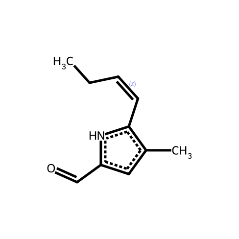 CC/C=C\c1[nH]c(C=O)cc1C